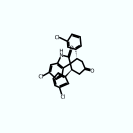 O=C1C[C@@H](c2cccc(Cl)c2)C2(C(=O)Nc3cc(Cl)ccc32)[C@H](c2cccc(Cl)c2)C1